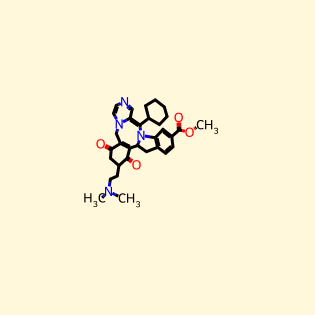 COC(=O)c1ccc2c(c1)N1C(C3CCCCC3)=C3C=NC=CN3CC3=C(C(=O)C(CCN(C)C)CC3=O)C1C2